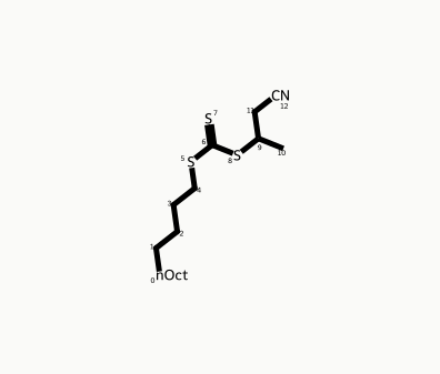 CCCCCCCCCCCCSC(=S)SC(C)CC#N